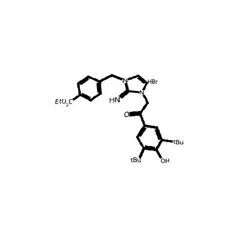 Br.CCOC(=O)c1ccc(Cn2ccn(CC(=O)c3cc(C(C)(C)C)c(O)c(C(C)(C)C)c3)c2=N)cc1